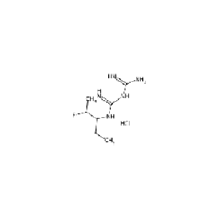 CCC(NC(=N)NC(=N)N)C(C)F.Cl